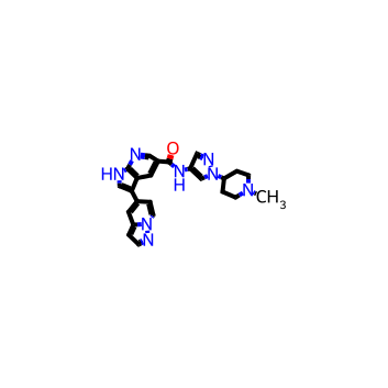 CN1CCC(n2cc(NC(=O)c3cnc4[nH]cc(-c5ccn6nccc6c5)c4c3)cn2)CC1